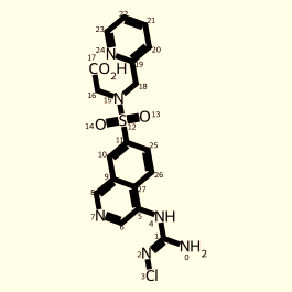 NC(=NCl)Nc1cncc2cc(S(=O)(=O)N(CC(=O)O)Cc3ccccn3)ccc12